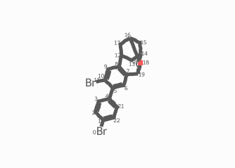 Brc1ccc(-c2cc3c(cc2Br)C2CC4CC(C2)CC3C4)cc1